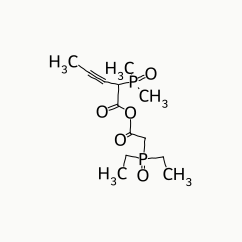 CC#CC(C(=O)OC(=O)CP(=O)(CC)CC)P(C)(C)=O